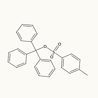 Cc1ccc(S(=O)(=O)OC(c2ccccc2)(c2ccccc2)c2ccccc2)cc1